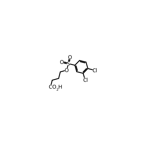 O=C(O)CCCOS(=O)(=O)c1ccc(Cl)c(Cl)c1